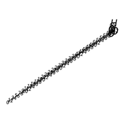 CCCCCCCCCCCCCCCCCCCCCCCCCCCCCCCCCCCCCCCCCCCCCCCCCCCCCCCCCCCCO[PH](=O)OCC